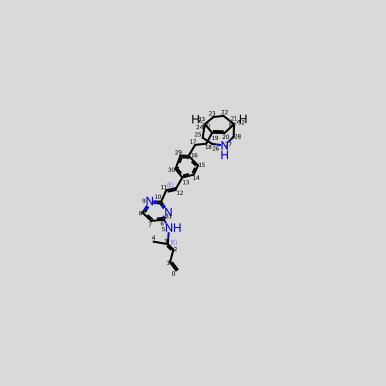 C=C/C=C(\C)Nc1ccnc(/C=C/c2ccc(CCC3=C[C@H]4CC[C@@H]3CCNC4)cc2)n1